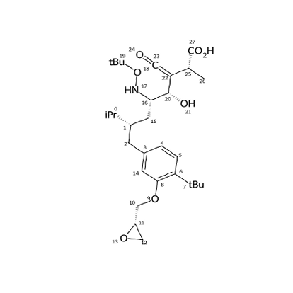 CC(C)[C@@H](Cc1ccc(C(C)(C)C)c(OC[C@@H]2CO2)c1)C[C@H](NOC(C)(C)C)[C@@H](O)C(=C=O)[C@@H](C)C(=O)O